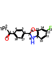 CCCC(=O)c1ccc(C2Nc3ccc(F)cc3O2)cc1